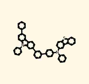 c1ccc(-c2ccc3c(c2)c2ccc(-c4cccc(-c5ccc(N(c6ccccc6)c6ccc7sc8ccccc8c7c6)cc5)c4)cc2n3-c2ccccc2)cc1